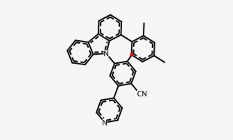 Cc1ccc(-c2cccc3c4ccccc4n(-c4cc(-c5ccncc5)c(C#N)cc4C)c23)c(C)c1